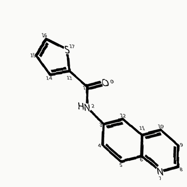 O=C(Nc1ccc2ncccc2c1)c1cccs1